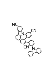 N#Cc1ccc(-c2cccc(C#N)c2C2=CC(n3c4ccccc4c4ccccc43)=CCC2)c(-n2c3ccccc3c3cc(C#N)ccc32)c1